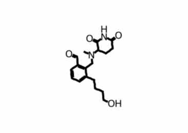 CN(Cc1c(C=O)cccc1CCCCO)C1CCC(=O)NC1=O